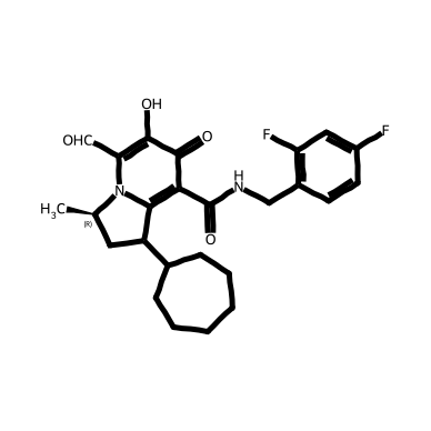 C[C@@H]1CC(C2CCCCCC2)c2c(C(=O)NCc3ccc(F)cc3F)c(=O)c(O)c(C=O)n21